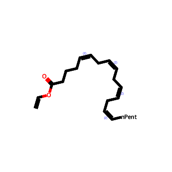 C=COC(=O)CCC/C=C\C/C=C\C/C=C\C/C=C\CCCCC